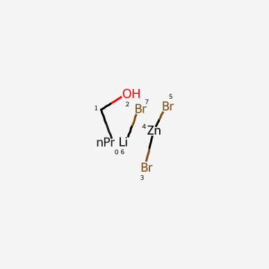 CCCCO.[Br][Zn][Br].[Li][Br]